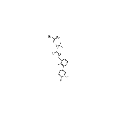 Cc1c(COC(=O)[C@@H]2[C@H](C=C(Br)Br)C2(C)C)cccc1-c1ccc(F)c(F)c1